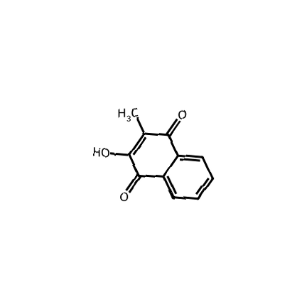 CC1=C(O)C(=O)c2ccccc2C1=O